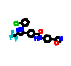 O=C(Nc1ccc(-c2cnco2)cc1)c1ccc(-c2cc(C(F)(F)F)nn2-c2ccccc2Cl)cc1